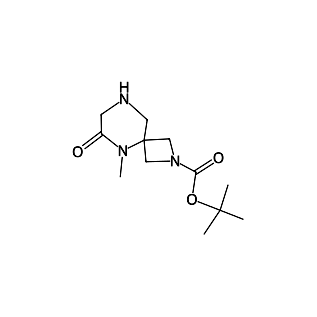 CN1C(=O)CNCC12CN(C(=O)OC(C)(C)C)C2